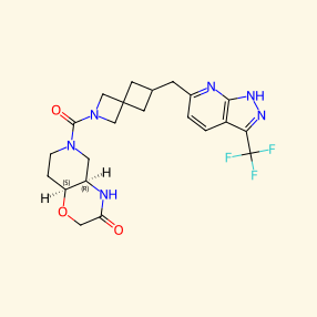 O=C1CO[C@H]2CCN(C(=O)N3CC4(CC(Cc5ccc6c(C(F)(F)F)n[nH]c6n5)C4)C3)C[C@H]2N1